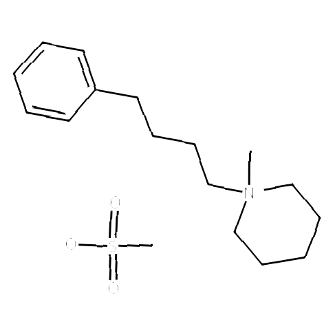 CS(=O)(=O)[O-].C[N+]1(CCCCc2ccccc2)CCCCC1